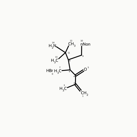 Br.C=C(C)C(=O)C(C)C(CCCCCCCCCC)C(C)(C)N